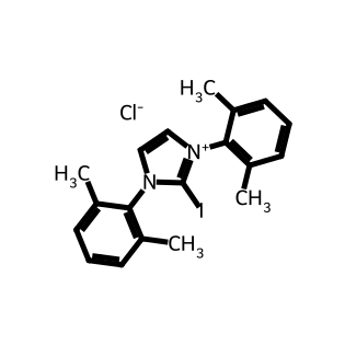 Cc1cccc(C)c1-n1cc[n+](-c2c(C)cccc2C)c1I.[Cl-]